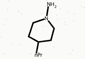 CCCC1CCN(N)CC1